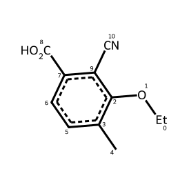 CCOc1c(C)ccc(C(=O)O)c1C#N